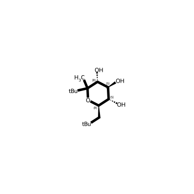 CC(C)(C)C[C@H]1OC(C)(C(C)(C)C)[C@H](O)[C@@H](O)[C@@H]1O